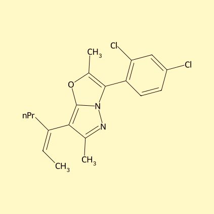 C/C=C(/CCC)c1c(C)nn2c(-c3ccc(Cl)cc3Cl)c(C)oc12